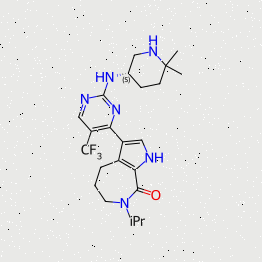 CC(C)N1CCCc2c(-c3nc(N[C@H]4CCC(C)(C)NC4)ncc3C(F)(F)F)c[nH]c2C1=O